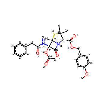 COc1ccc(COC(=O)[C@@H]2N3C(=O)[C@](NC(=O)Cc4ccccc4)(OC(C)=O)[C@H]3SC2(C)C)cc1